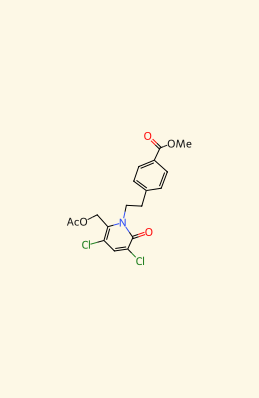 COC(=O)c1ccc(CCn2c(COC(C)=O)c(Cl)cc(Cl)c2=O)cc1